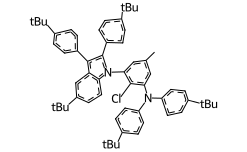 Cc1cc(N(c2ccc(C(C)(C)C)cc2)c2ccc(C(C)(C)C)cc2)c(Cl)c(-n2c(-c3ccc(C(C)(C)C)cc3)c(-c3ccc(C(C)(C)C)cc3)c3cc(C(C)(C)C)ccc32)c1